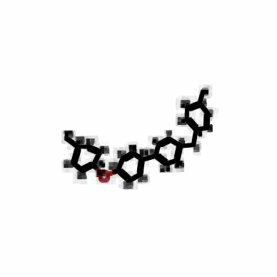 Cc1ccc(Cc2ccc(-c3ccc(Oc4ccc(C)cc4)cc3)cc2)cc1